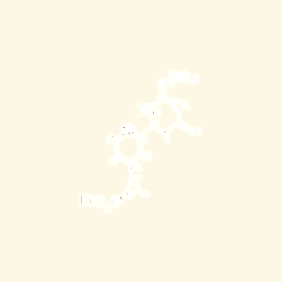 C=CC[C@H](NC(=O)OC(C)(C)C)c1cc([C@H]2C[C@H]2C(=O)OCC)ccn1